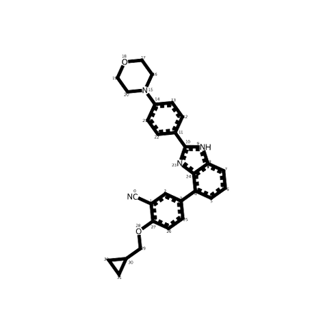 N#Cc1cc(-c2cccc3[nH]c(-c4ccc(N5CCOCC5)cc4)nc23)ccc1OCC1CC1